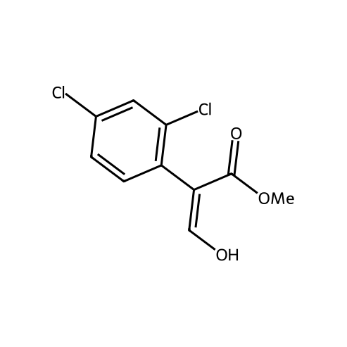 COC(=O)C(=CO)c1ccc(Cl)cc1Cl